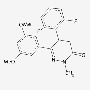 COc1cc(OC)cc(C2=NN(C)C(=O)CC2c2c(F)cccc2F)c1